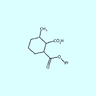 CC(C)OC(=O)C1CCCC(C)C1C(=O)O